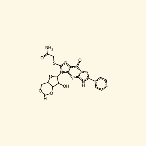 NC(=O)CSc1nc2c(=O)n3cc(-c4ccccc4)[nH]c3nc2n1C1OC2COPOC2C1O